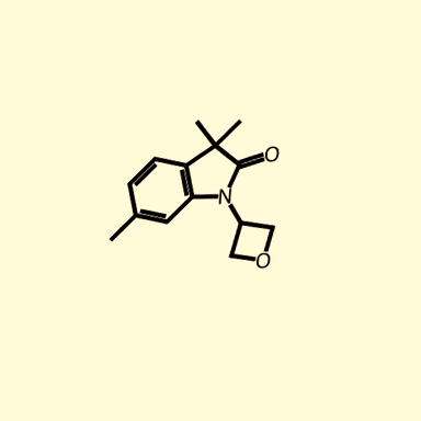 Cc1ccc2c(c1)N(C1COC1)C(=O)C2(C)C